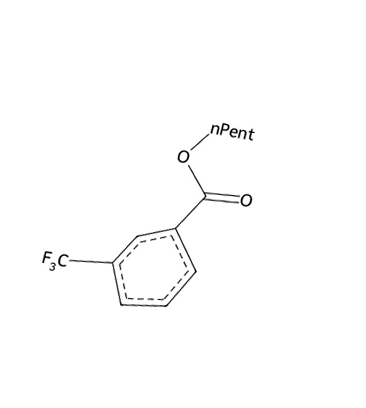 CCCCCOC(=O)c1cccc(C(F)(F)F)c1